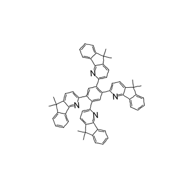 CC1(C)c2ccccc2-c2nc(-c3cc(-c4ccc5c(n4)-c4ccccc4C5(C)C)c(-c4ccc5c(n4)-c4ccccc4C5(C)C)cc3-c3ccc4c(n3)-c3ccccc3C4(C)C)ccc21